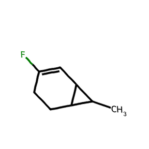 CC1C2C=C(F)CCC12